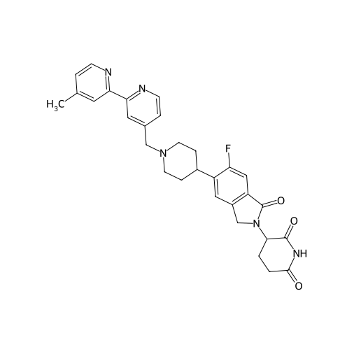 Cc1ccnc(-c2cc(CN3CCC(c4cc5c(cc4F)C(=O)N(C4CCC(=O)NC4=O)C5)CC3)ccn2)c1